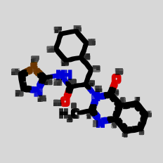 Cc1nc2ccccc2c(=O)n1C(CC1CCCCC1)C(=O)Nc1nccs1